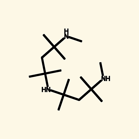 CNC(C)(C)CC(C)(C)NC(C)(C)CC(C)(C)NC